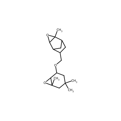 CC1(C)CC(OCC2CC3CC2C2OC32C)C2OC2(C)C1